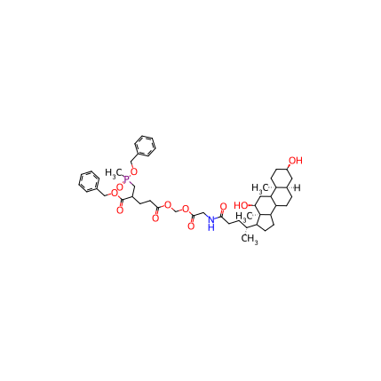 C[C@H](CCC(=O)NCC(=O)OCOC(=O)CCC(CP(C)(=O)OCc1ccccc1)C(=O)OCc1ccccc1)C1CCC2C3CC[C@@H]4C[C@H](O)CC[C@]4(C)C3C[C@H](O)[C@@]21C